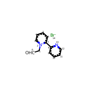 O=CC[n+]1ccccc1-c1ccccn1.[Br-]